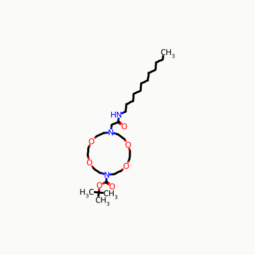 CCCCCCCCCCCCNC(=O)CN1CCOCCOCCN(C(=O)OC(C)(C)C)CCOCCOCC1